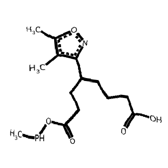 CPOC(=O)CCC(CCCC(=O)O)c1noc(C)c1C